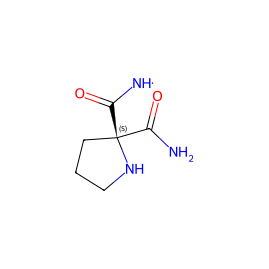 [NH]C(=O)[C@]1(C(N)=O)CCCN1